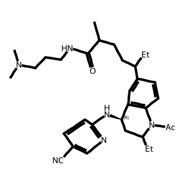 CCC(CCC(C)C(=O)NCCCN(C)C)c1ccc2c(c1)[C@H](Nc1ccc(C#N)cn1)CC(CC)N2C(C)=O